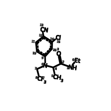 CCNC(=O)C(C)N(CC(F)(F)F)c1ccc(C#N)c(Cl)c1